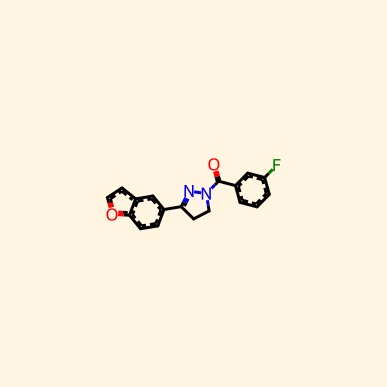 O=C(c1cccc(F)c1)N1CCC(c2ccc3occc3c2)=N1